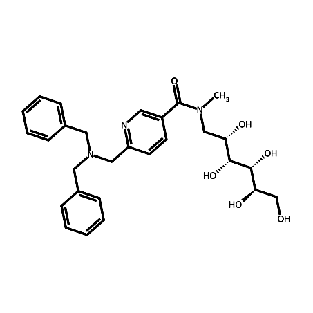 CN(C[C@H](O)[C@@H](O)[C@H](O)[C@H](O)CO)C(=O)c1ccc(CN(Cc2ccccc2)Cc2ccccc2)nc1